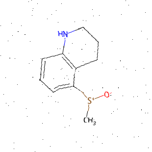 C[S+]([O-])c1cccc2c1CCCN2